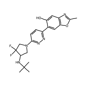 Cc1nc2cc(O)c(-c3ccc(N4CC(NC(C)(C)C)C(F)(F)C4)nn3)cc2o1